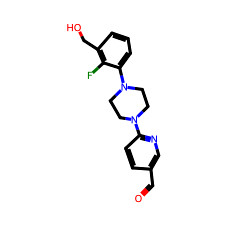 O=Cc1ccc(N2CCN(c3cccc(CO)c3F)CC2)nc1